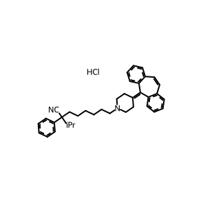 CC(C)C(C#N)(CCCCCCN1CCC(=C2c3ccccc3C=Cc3ccccc32)CC1)c1ccccc1.Cl